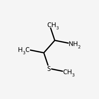 CSC(C)C(C)N